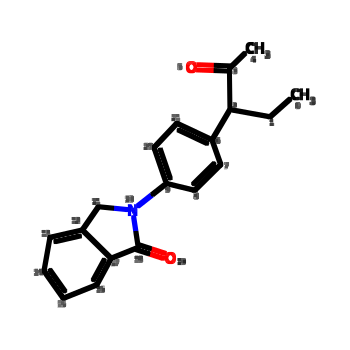 CCC(C(C)=O)c1ccc(N2Cc3ccccc3C2=O)cc1